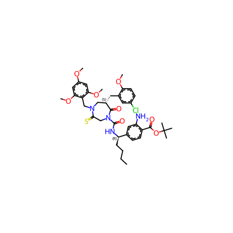 CCCC[C@@H](NC(=O)N1CC(=S)N(Cc2c(OC)cc(OC)cc2OC)C[C@H](Cc2cc(Cl)ccc2OC)C1=O)c1ccc(C(=O)OC(C)(C)C)c(N)c1